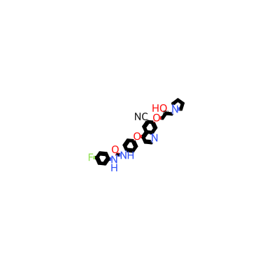 N#Cc1cc2c(Oc3ccc(NC(=O)Nc4ccc(F)cc4)cc3)ccnc2cc1OC[C@H](O)CN1CCCC1